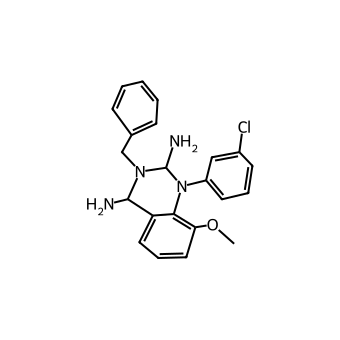 COc1cccc2c1N(c1cccc(Cl)c1)C(N)N(Cc1ccccc1)C2N